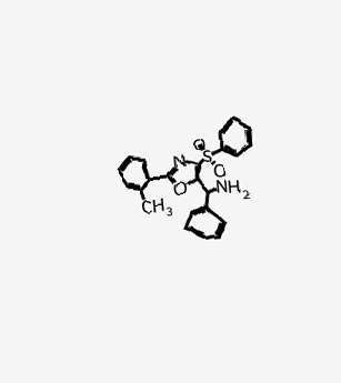 Cc1ccccc1-c1nc(S(=O)(=O)c2ccccc2)c(C(N)c2ccccc2)o1